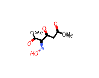 COC(=O)CC(=O)/C(=N/O)C(=O)OC